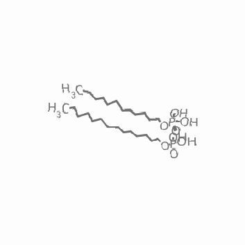 CCCCCCCCCCCCCCOP(=O)(O)O.CCCCCCCCCCCCOP(=O)(O)O